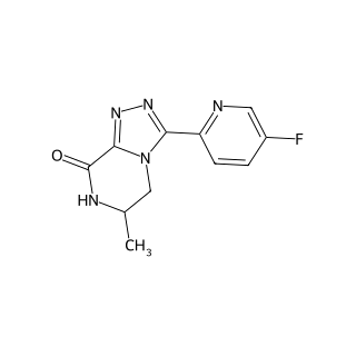 CC1Cn2c(nnc2-c2ccc(F)cn2)C(=O)N1